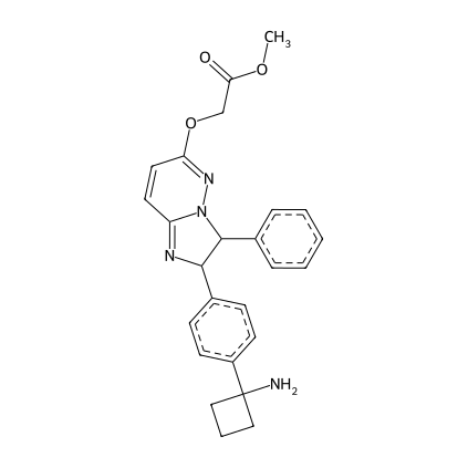 COC(=O)COC1=NN2C(=NC(c3ccc(C4(N)CCC4)cc3)C2c2ccccc2)C=C1